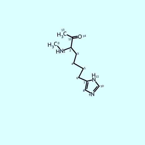 CNC(CCCCc1cnc[nH]1)C(C)=O